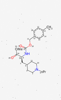 CCCN1CCC(C[C@H](NC(=O)OCc2ccc(C)cc2)C(=O)OC)CC1